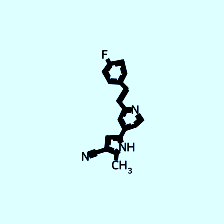 Cc1[nH]c(-c2ccnc(C=Cc3ccc(F)cc3)c2)cc1C#N